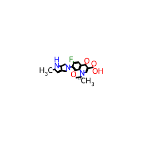 CC1C=C2CN(c3c(F)cc4c(=O)c(C(=O)O)cn5c4c3OC[C@@H]5C)CC2N1